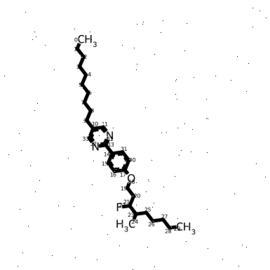 CCCCCCCCCCc1cnc(-c2ccc(OCCC(F)C(C)CCCCC)cc2)nc1